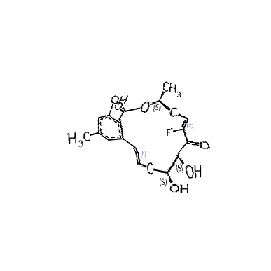 Cc1cc(O)c2c(c1)/C=C/C[C@H](O)[C@H](O)C(=O)/C(F)=C/C[C@H](C)OC2=O